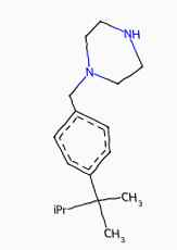 CC(C)C(C)(C)c1ccc(CN2CCNCC2)cc1